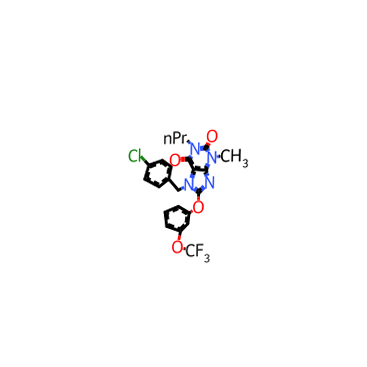 CCCn1c(=O)c2c(nc(Oc3cccc(OC(F)(F)F)c3)n2Cc2ccc(Cl)cc2)n(C)c1=O